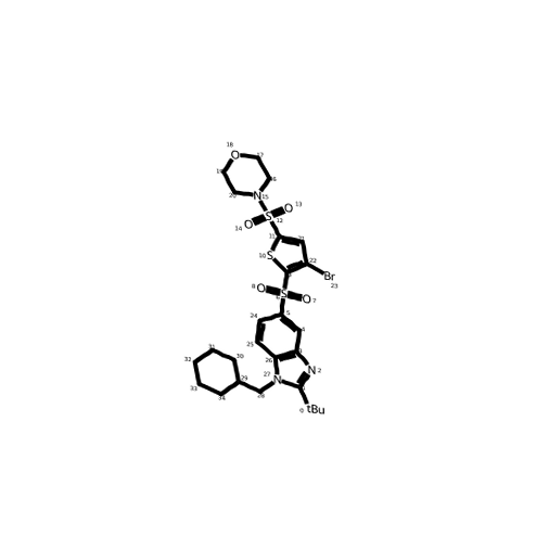 CC(C)(C)c1nc2cc(S(=O)(=O)c3sc(S(=O)(=O)N4CCOCC4)cc3Br)ccc2n1CC1CCCCC1